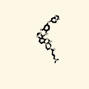 CN(C)C/C=C/C(=O)N1CCN2c3ccc4ncnc(Nc5ccc(Oc6ccn7ncnc7c6)cc5F)c4c3OC[C@H]2C1